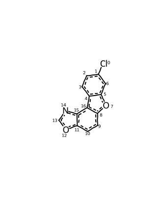 Clc1ccc2c(c1)oc1ccc3ocnc3c12